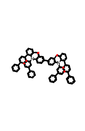 Cc1cc(-c2ccc(N(c3cccc(-c4ccccc4)c3)c3c(C)cccc3-c3ccc(-c4ccccc4)cc3)c(C)c2)ccc1N(c1cccc(-c2ccccc2)c1)c1c(C)cccc1-c1ccc(-c2ccccc2)cc1